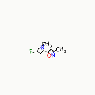 Cc1cc([C@@H]2C[C@H](CF)CN2C)on1